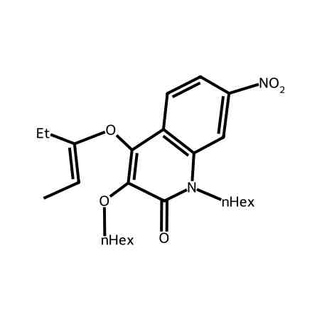 CC=C(CC)Oc1c(OCCCCCC)c(=O)n(CCCCCC)c2cc([N+](=O)[O-])ccc12